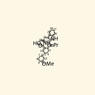 CCCOc1ccc(-c2cccc(OC)c2)cc1C(=O)N[C@@H](CO)Cc1c[nH]c2ccccc12